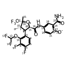 C[C@H]1[C@H](c2ccc(F)c(F)c2OC(F)F)[C@H](C(=O)Nc2cc[n+]([O-])c(C(N)=O)c2)O[C@@]1(C)C(F)(F)F